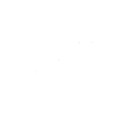 CCC(=O)N(CC1CCN(C(C)CC(=O)O)CC1)c1ccc(NC(=O)Nc2ccccc2C)c(OC)c1